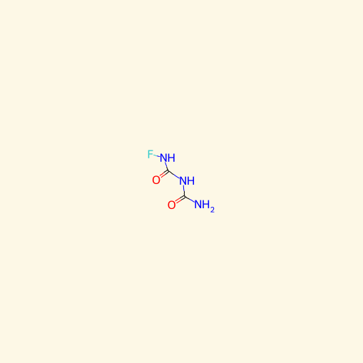 NC(=O)NC(=O)NF